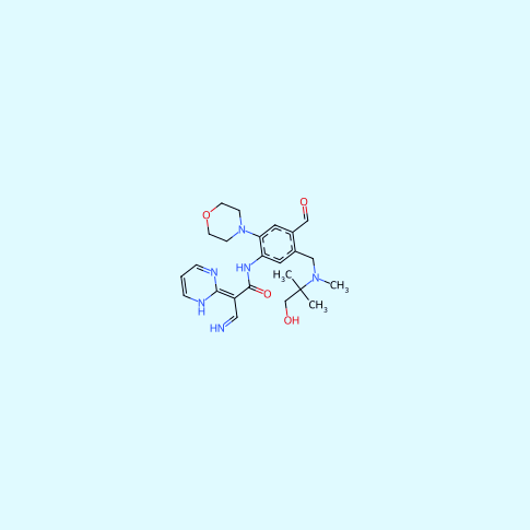 CN(Cc1cc(NC(=O)/C(C=N)=C2\N=CC=CN2)c(N2CCOCC2)cc1C=O)C(C)(C)CO